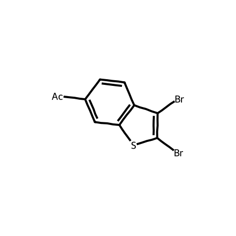 CC(=O)c1ccc2c(Br)c(Br)sc2c1